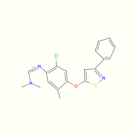 Cc1cc(/N=C\N(C)C)c(Cl)cc1Oc1cc(-c2ccccc2)ns1